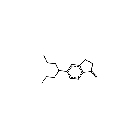 C=C1CCc2cc(C(CCC)CCC)ccc21